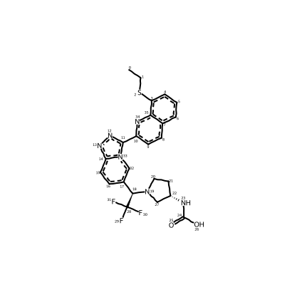 CCSc1cccc2ccc(-c3nnc4ccc([C@@H](N5CC[C@H](NC(=O)O)C5)C(F)(F)F)cn34)nc12